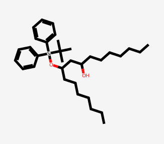 CCCCCCCC(O)CC(CCCCCCC)O[Si](c1ccccc1)(c1ccccc1)C(C)(C)C